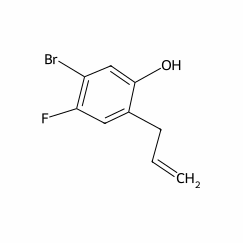 C=CCc1cc(F)c(Br)cc1O